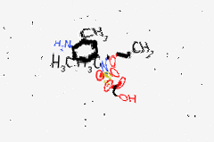 C=CCOCN(C)S(=O)(=O)OC(=O)CO.Cc1cccc(C)c1N